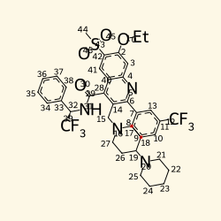 CCOc1cc2nc(-c3cccc(C(F)(F)F)c3)c(CN3CCC(N4CCCCC4)CC3)c(C(=O)N[C@H](c3ccccc3)C(F)(F)F)c2cc1S(C)(=O)=O